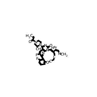 C=CC(=O)N1CCN(c2nc(=O)n3c4nc(c(F)cc24)-c2c(F)cccc2OCCCCC(/C=C\N=C)=C\3CCC)[C@@H](C)C1